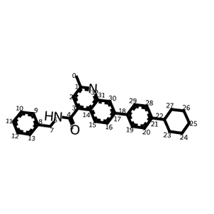 Cc1cc(C(=O)NCc2ccccc2)c2ccc(-c3ccc(C4CCCCC4)cc3)cc2n1